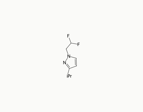 CC(C)c1ccn(CC(F)F)n1